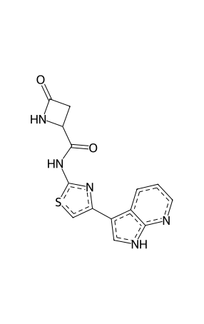 O=C1CC(C(=O)Nc2nc(-c3c[nH]c4ncccc34)cs2)N1